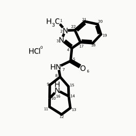 Cl.Cn1nc(C(=O)NC2CC3CCCC(C2)N3)c2ccccc21